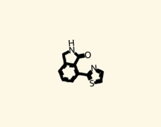 O=C1NCc2cccc(-c3nccs3)c21